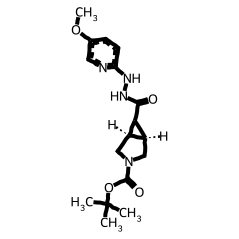 COc1ccc(NNC(=O)C2[C@H]3CN(C(=O)OC(C)(C)C)C[C@@H]23)nc1